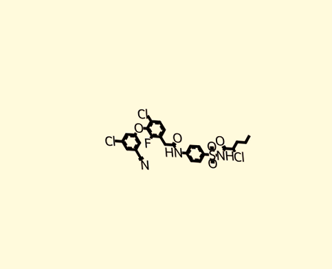 CCCC(Cl)C(=O)NS(=O)(=O)c1ccc(NC(=O)Cc2ccc(Cl)c(Oc3cc(Cl)cc(C#N)c3)c2F)cc1